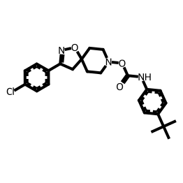 CC(C)(C)c1ccc(NC(=O)ON2CCC3(CC2)CC(c2ccc(Cl)cc2)=NO3)cc1